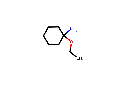 CCOC1(N)CCCCC1